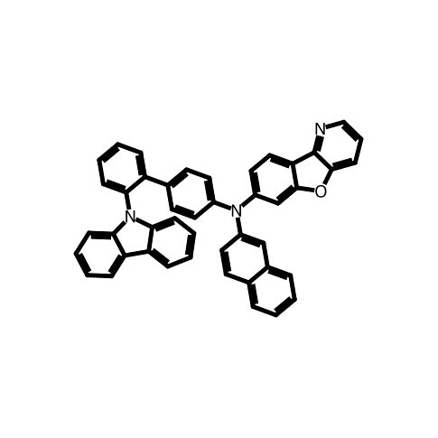 c1ccc(-n2c3ccccc3c3ccccc32)c(-c2ccc(N(c3ccc4ccccc4c3)c3ccc4c(c3)oc3cccnc34)cc2)c1